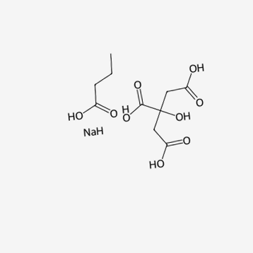 CCCC(=O)O.O=C(O)CC(O)(CC(=O)O)C(=O)O.[NaH]